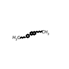 CCCCCCc1ccc2cc([C@H]3CC[C@H](CCCCCC)CC3)ccc2c1